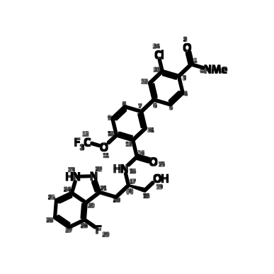 CNC(=O)c1ccc(-c2ccc(OC(F)(F)F)c(C(=O)N[C@@H](CO)Cc3n[nH]c4cccc(F)c34)c2)cc1Cl